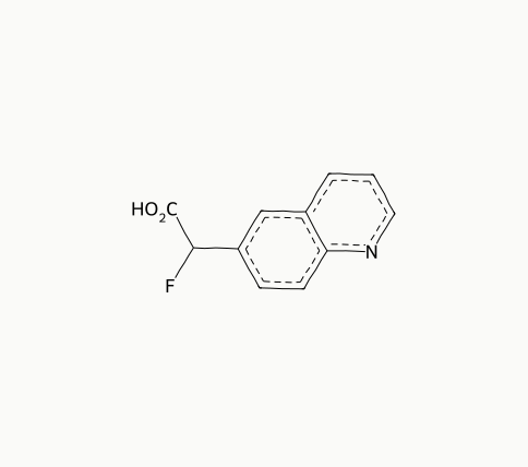 O=C(O)C(F)c1ccc2ncccc2c1